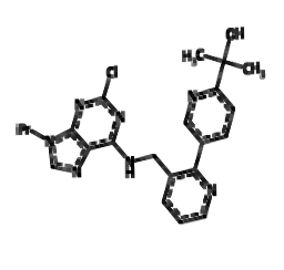 CC(C)n1cnc2c(NCc3cccnc3-c3ccc(C(C)(C)O)nc3)nc(Cl)nc21